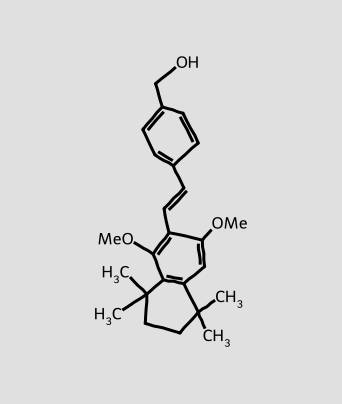 COc1cc2c(c(OC)c1/C=C/c1ccc(CO)cc1)C(C)(C)CCC2(C)C